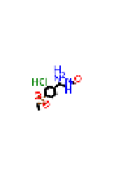 CCS(=O)(=O)c1ccc(C(N)CNC=O)cc1.Cl